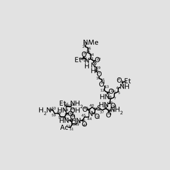 CCC(=O)NCCCCC(NC(=O)CCOCCOCCNC(=O)C(CCCCNC)NC(=O)CC)C(=O)NC(CSC1CC(=O)N(CCC(=O)NCC(CC(C)=O)C(=O)NC(CCCCN)C(=O)NC(CC)C(N)O)C1=O)C(N)=O